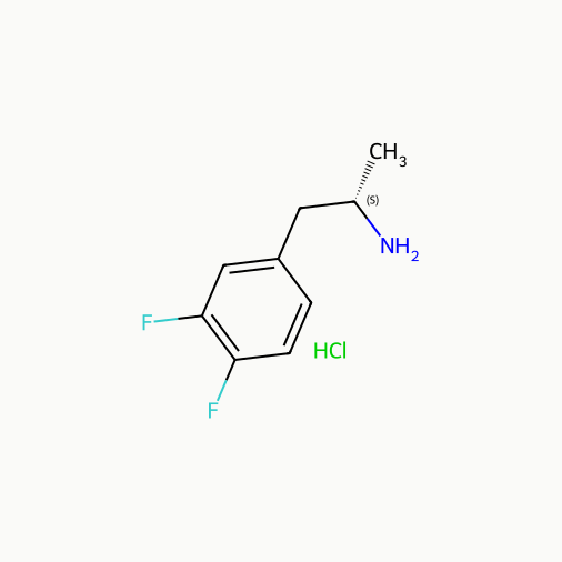 C[C@H](N)Cc1ccc(F)c(F)c1.Cl